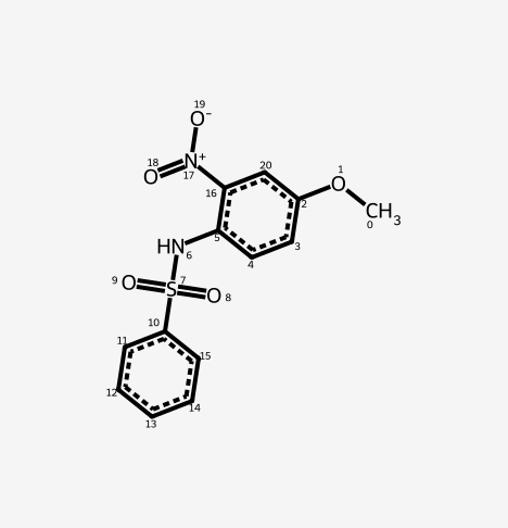 COc1ccc(NS(=O)(=O)c2ccccc2)c([N+](=O)[O-])c1